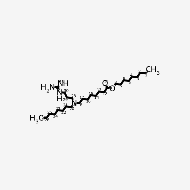 CCCCCCCCCOC(=O)CCCCCCCN(CCCCCCCC)CCCNC(=N)N